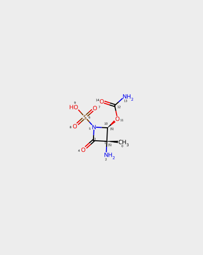 C[C@@]1(N)C(=O)N(S(=O)(=O)O)[C@H]1OC(N)=O